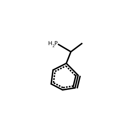 CC(P)c1c#cccc1